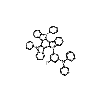 Fc1cc(N(c2ccccc2)c2ccccc2)cc(-n2c3ccccc3c3c4c(c5ccccc5n4-c4ccccc4)c4c(c5ccccc5n4-c4ccccc4)c32)c1